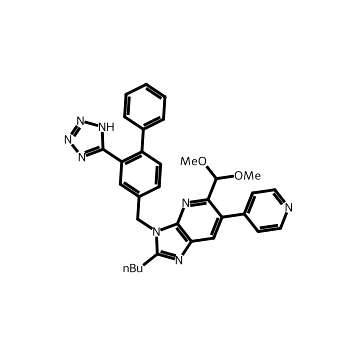 CCCCc1nc2cc(-c3ccncc3)c(C(OC)OC)nc2n1Cc1ccc(-c2ccccc2)c(-c2nnn[nH]2)c1